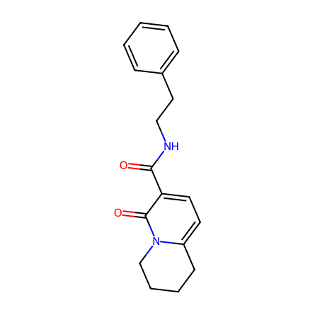 O=C(NCCc1ccccc1)c1ccc2n(c1=O)CCCC2